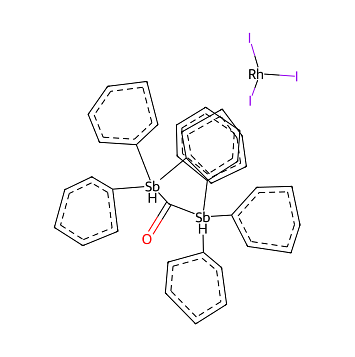 O=[C]([SbH]([c]1ccccc1)([c]1ccccc1)[c]1ccccc1)[SbH]([c]1ccccc1)([c]1ccccc1)[c]1ccccc1.[I][Rh]([I])[I]